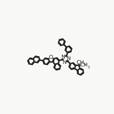 CC1(C)c2ccccc2-c2ccc(-c3nc(-c4cccc(-c5ccccc5)c4)nc(-c4cc5oc6cc(-c7ccc8ccccc8c7)ccc6c5c5ccccc45)n3)cc21